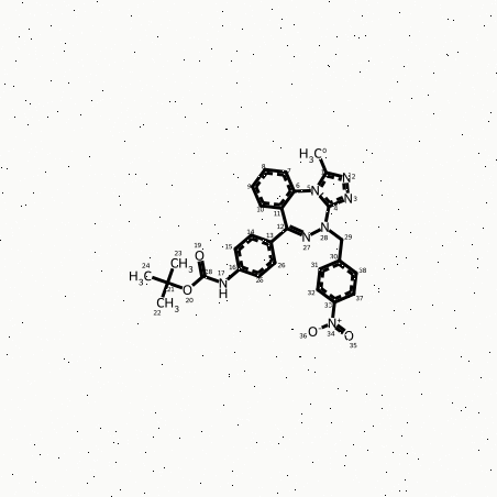 Cc1nnc2n1-c1ccccc1C(c1ccc(NC(=O)OC(C)(C)C)cc1)=NN2Cc1ccc([N+](=O)[O-])cc1